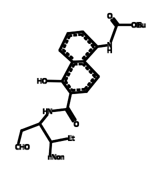 CCCCCCCCCC(CC)C(CC=O)NC(=O)c1ccc2c(NC(=O)OCC(C)C)cccc2c1O